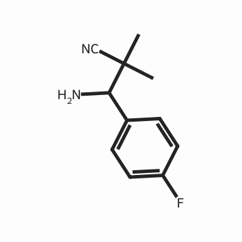 CC(C)(C#N)C(N)c1ccc(F)cc1